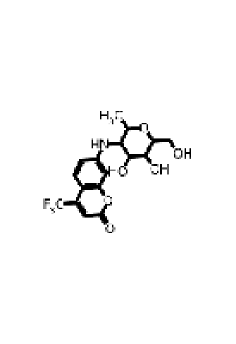 CC1OC(CO)C(O)C(O)C1Nc1ccc2c(C(F)(F)F)cc(=O)oc2c1